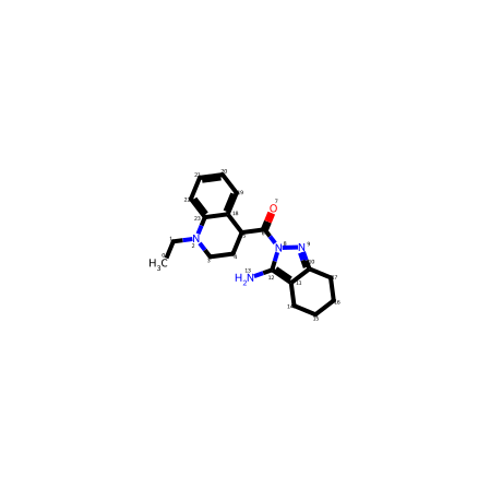 CCN1CCC(C(=O)n2nc3c(c2N)CCCC3)c2ccccc21